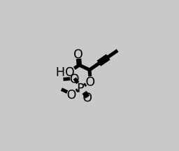 CC#CC(OP(=O)(OC)OC)C(=O)O